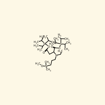 CCN(CCC[Si](C)(C)OC)C(CC(=O)O[Si](C(C)C)(C(C)C)C(C)C)C(=O)O[Si](C(C)C)(C(C)C)C(C)C